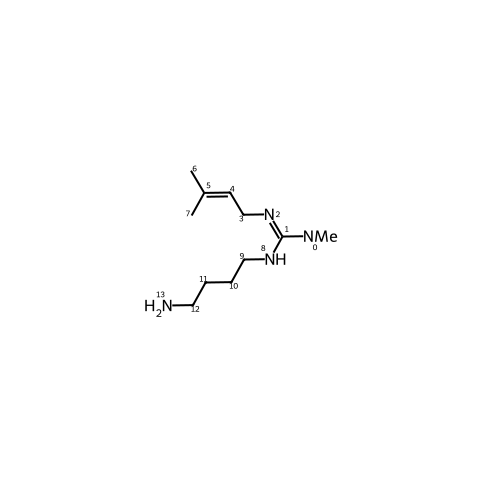 CNC(=NCC=C(C)C)NCCCCN